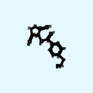 CC(C)Cc1ccc(C(=O)ON2C(=O)CCC2=O)cc1